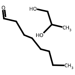 CC(O)CO.CCCCCCCC=O